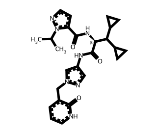 CC(C)n1nccc1C(=O)N[C@H](C(=O)Nc1cnn(Cc2ccc[nH]c2=O)c1)C(C1CC1)C1CC1